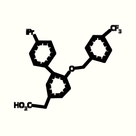 CC(C)c1ccc(-c2cc(CC(=O)O)ccc2OCc2ccc(C(F)(F)F)cc2)cc1